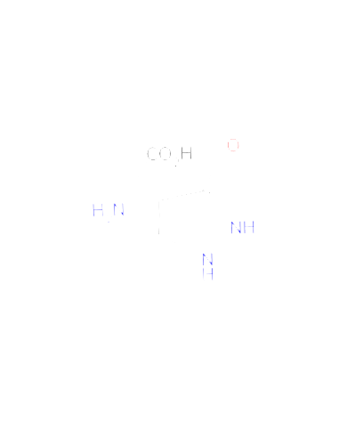 NC(=O)O.O=C1CCNN1